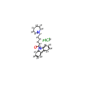 Cl.O=C(CCCCCN1CCCCCC1)n1c2ccccc2c2ccccc21